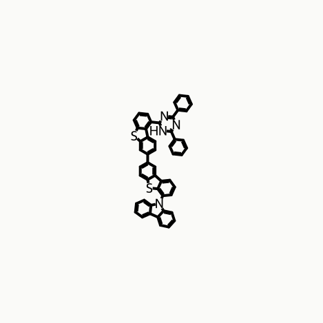 c1ccc(C2=NC(c3cccc4sc5cc(-c6ccc7sc8c(-n9c%10ccccc%10c%10ccccc%109)cccc8c7c6)ccc5c34)NC(c3ccccc3)=N2)cc1